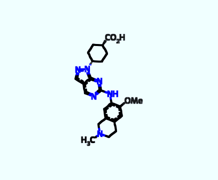 COc1cc2c(cc1Nc1ncc3cnn([C@H]4CC[C@H](C(=O)O)CC4)c3n1)CN(C)CC2